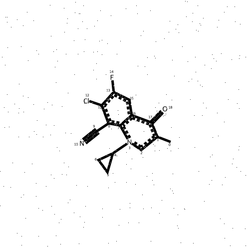 Cc1cn(C2CC2)c2c(C#N)c(Cl)c(F)cc2c1=O